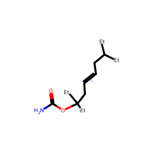 CCC(CC)C/C=C/CC(CC)(CC)OC(N)=O